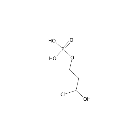 O=P(O)(O)OCCC(O)Cl